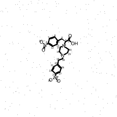 O=C(O)[C@H](Cc1ccc([N+](=O)[O-])cc1)N1CCN(CCc2ccc([N+](=O)[O-])cc2)CC1